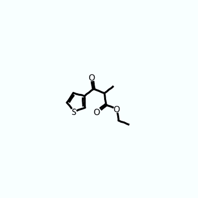 CCOC(=O)C(C)C(=O)c1ccsc1